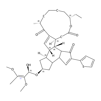 CC[C@H]1CCCC[C@@H](C)C(=O)C2=C[C@@H]3[C@@H](C4C(=O)C(c5cccs5)=CC4C4C[C@@H](O[C@H](O)/C(OC)=C(/C)OC)C[C@H]43)[C@@H]2CC(=O)O1